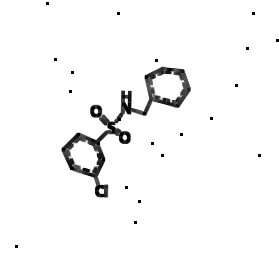 O=S(=O)(NCc1ccccc1)c1cccc(Cl)c1